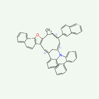 CC1/C=C(c2ccc3ccccc3c2)\C=C2/C/C(=C\c3c1oc1c3ccc3ccccc31)c1ccccc1N2c1ccccc1-c1ccccc1